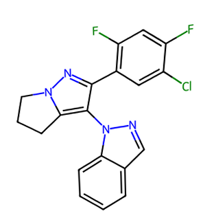 Fc1cc(F)c(-c2nn3c(c2-n2ncc4ccccc42)CCC3)cc1Cl